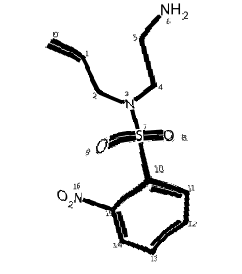 C=CCN(CCN)S(=O)(=O)c1ccccc1[N+](=O)[O-]